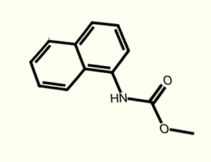 COC(=O)Nc1cccc2[c]cccc12